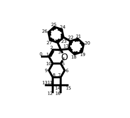 CC1=CC2(OC3CC4C(CC13)C(C)(C)C4(C)C)c1ccccc1-c1ccccc12